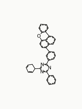 C1=CCC(c2nc(-c3ccccc3)nc(-c3cccc(-c4ccc5c6c(cccc46)-c4ccccc4O5)c3)n2)C=C1